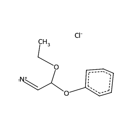 CCOC(C=[N+])Oc1ccccc1.[Cl-]